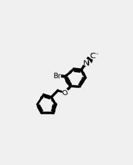 [C-]#[N+]c1ccc(OCc2ccccc2)c(Br)c1